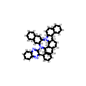 c1ccc(-c2nc3ccccc3nc2-n2c3cccc4ccc5c6c7ccccc7ccc6n(c6cc7ccccc7cc62)c5c43)cc1